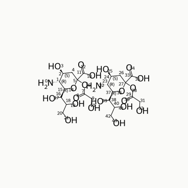 N[C@@H]1[C@@H](O)CC(OC(=O)CO)(C(=O)O)O[C@H]1C(O)C(O)CO.N[C@@H]1[C@@H](O)CC(OC(=O)CO)(C(=O)O)O[C@H]1C(O)C(O)CO